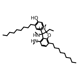 CCCCCCCCCc1cc(C2(NC)c3c(NC)ccc(CCCCCCCCC)c3OC2(CC)NC)ccc1O